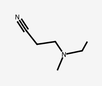 CCN(C)CCC#N